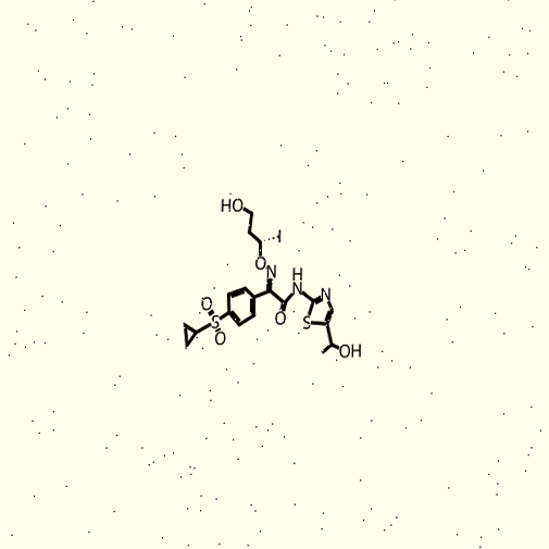 CC(O)c1cnc(NC(=O)/C(=N/O[C@@H](I)CCO)c2ccc(S(=O)(=O)C3CC3)cc2)s1